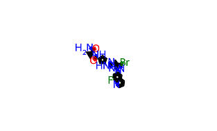 NC(=O)C1(NC(=O)[C@@H]2CC[C@@H](Nc3ncc4c(Br)nn(-c5cc(F)c6ncccc6c5)c4n3)C2)CC1